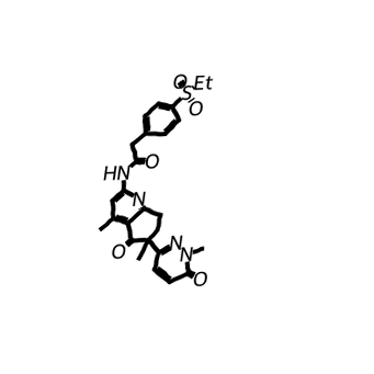 CCS(=O)(=O)c1ccc(CC(=O)Nc2cc(C)c3c(n2)CCC(C)(c2ccc(=O)n(C)n2)C3=O)cc1